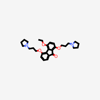 CCOc1ccc(OCCCN2CCCC2)c2c1-c1c(OCCCN3CCCC3)cccc1C2=O